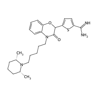 C[C@@H]1CCC[C@H](C)N1CCCCCN1C(=O)C(c2ccc(C(=N)N)s2)Oc2ccccc21